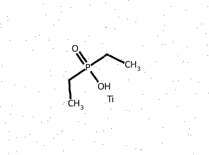 CCP(=O)(O)CC.[Ti]